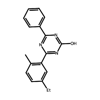 CCc1ccc(C)c(-c2nc(O)nc(-c3ccccc3)n2)c1